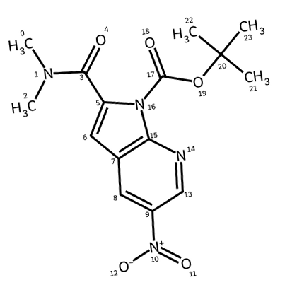 CN(C)C(=O)c1cc2cc([N+](=O)[O-])cnc2n1C(=O)OC(C)(C)C